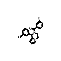 O=C(c1cccc(F)c1)N1CCn2cccc2C1c1cccc(Cl)c1